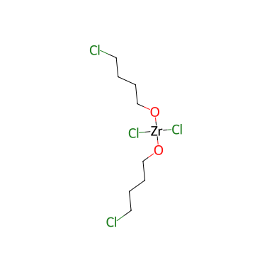 ClCCCC[O][Zr]([Cl])([Cl])[O]CCCCCl